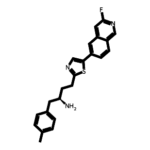 Cc1ccc(C[C@H](N)CCc2ncc(-c3ccc4cnc(F)cc4c3)s2)cc1